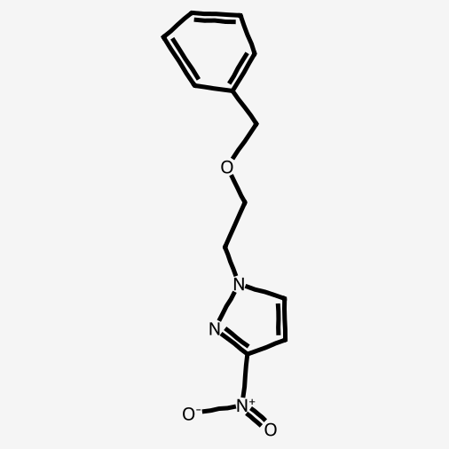 O=[N+]([O-])c1ccn(CCOCc2ccccc2)n1